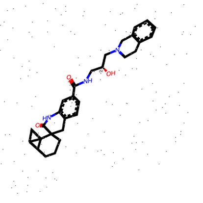 O=C(NC[C@H](O)CN1CCc2ccccc2C1)c1ccc2c(c1)NC(=O)C1(CCCC3C4CC341)C2